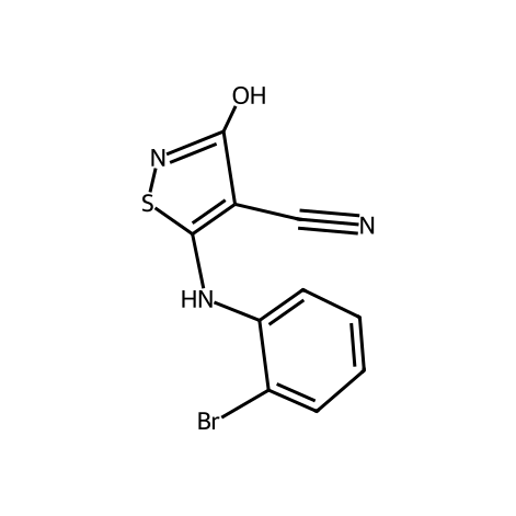 N#Cc1c(O)nsc1Nc1ccccc1Br